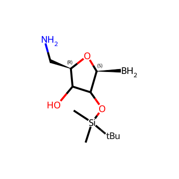 B[C@@H]1O[C@H](CN)C(O)C1O[Si](C)(C)C(C)(C)C